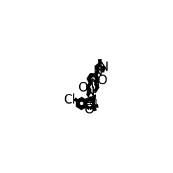 Cc1cn(-c2ccc3n(c2=O)CCN(C[C@@]24C[C@@H]2C(C)(C)Oc2ccc(Cl)cc24)C3=O)cn1